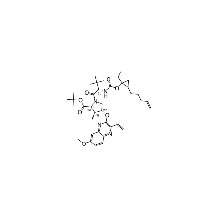 C=CCCCC1CC1(CC)OC(=O)N[C@H](C(=O)N1C[C@H](Oc2nc3cc(OC)ccc3nc2C=C)[C@@H](C)[C@H]1C(=O)OC(C)(C)C)C(C)(C)C